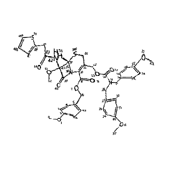 COc1ccc(COC(=O)C2=C(COC(=O)N(Cc3ccc(OC)cc3)Cc3ccc(OC)cc3)CS[C@@H]3N2C(=O)C3(NC(=O)Cc2cccs2)OC)cc1